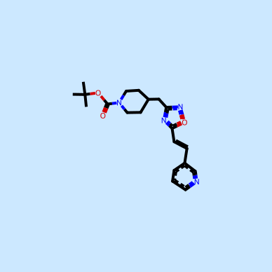 CC(C)(C)OC(=O)N1CCC(Cc2noc(/C=C/c3cccnc3)n2)CC1